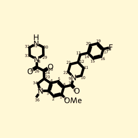 COc1cc2c(cc1C(=O)N1CCC(Cc3ccc(F)cc3)CC1)C(C(=O)C(=O)N1CCNCC1)CN2C